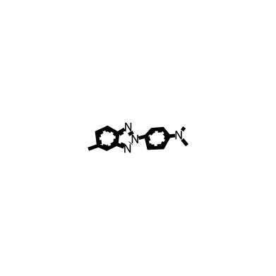 Cc1ccc2nn(-c3ccc(N(C)C)cc3)nc2c1